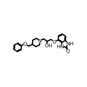 O=c1[nH]c2cccc(OCC(O)CN3CCC(COc4ccccc4)CC3)c2[nH]1